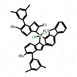 CCC1=Cc2c(ccc(C(C)(C)C)c2-c2cc(C)cc(C)c2)[CH]1[Zr]([Cl])([Cl])([c]1cccc2c1[SiH2]c1ccccc1-2)[CH]1C(CC)=Cc2c1ccc(C(C)(C)C)c2-c1cc(C)cc(C)c1